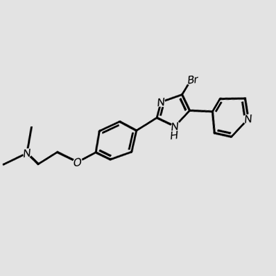 CN(C)CCOc1ccc(-c2nc(Br)c(-c3ccncc3)[nH]2)cc1